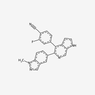 Cn1ncc2cc(-c3ncc4[nH]ccc4c3-c3ccc(C#N)c(F)c3)ccc21